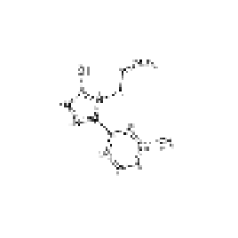 C=CCn1c(S)nnc1-c1cccc(C)c1